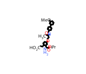 COc1cccc(-c2ccc(-c3nc(CCOc4ccc(CCC(=O)O)c(C(N)C(=O)OC(C)C)c4)c(C)o3)cc2)c1